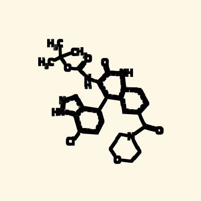 CC(C)(C)OC(=O)Nc1c(-c2ccc(Cl)c3[nH]ncc23)c2cc(C(=O)N3CCOCC3)ccc2[nH]c1=O